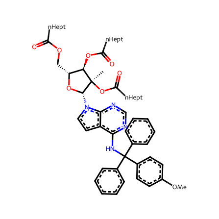 CCCCCCCC(=O)OC[C@H]1O[C@@H](n2ccc3c(NC(c4ccccc4)(c4ccccc4)c4ccc(OC)cc4)ncnc32)[C@](C)(OC(=O)CCCCCCC)[C@@H]1OC(=O)CCCCCCC